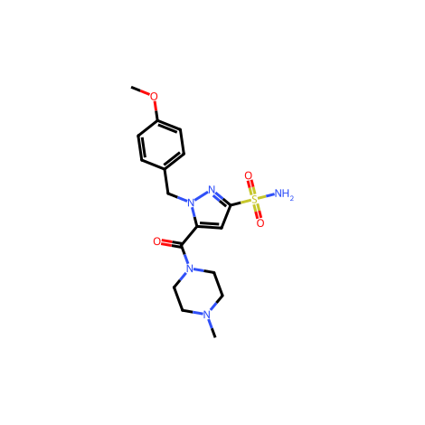 COc1ccc(Cn2nc(S(N)(=O)=O)cc2C(=O)N2CCN(C)CC2)cc1